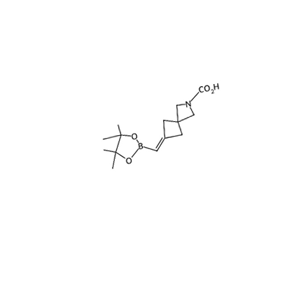 CC1(C)OB(C=C2CC3(C2)CN(C(=O)O)C3)OC1(C)C